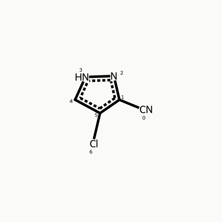 N#Cc1n[nH]cc1Cl